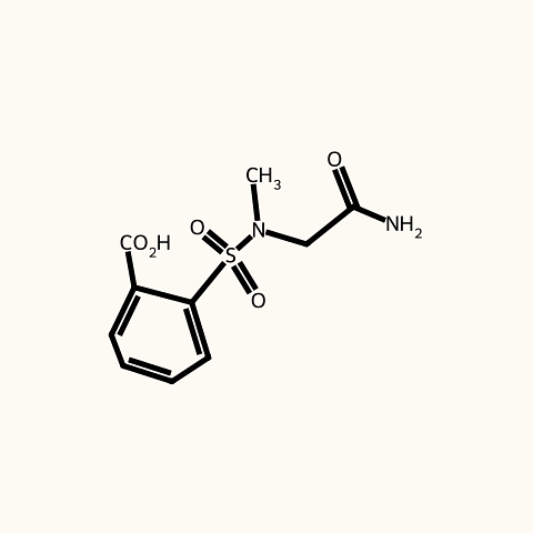 CN(CC(N)=O)S(=O)(=O)c1ccccc1C(=O)O